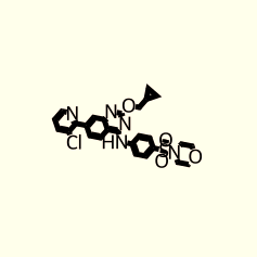 O=S(=O)(c1ccc(Nc2nc(OCC3CC3)nc3cc(-c4ncccc4Cl)ccc23)cc1)N1CCOCC1